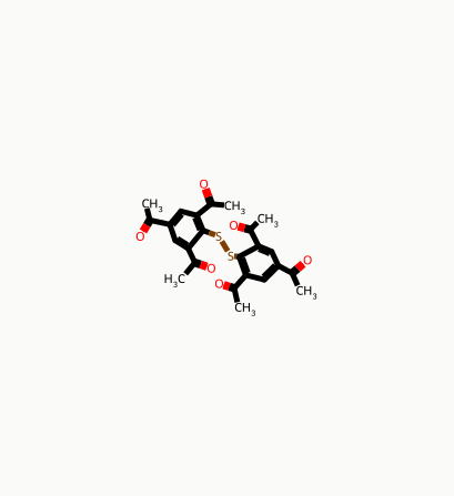 CC(=O)c1cc(C(C)=O)c(SSc2c(C(C)=O)cc(C(C)=O)cc2C(C)=O)c(C(C)=O)c1